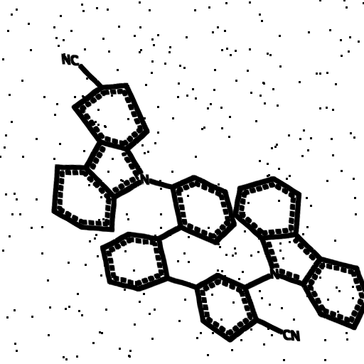 N#Cc1ccc2c(c1)c1ccccc1n2-c1ccccc1-c1ccccc1-c1ccc(C#N)c(-n2c3ccccc3c3ccccc32)c1